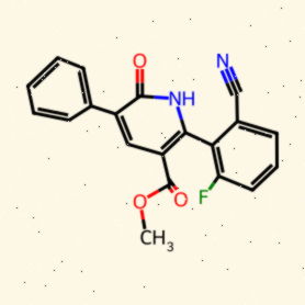 COC(=O)c1cc(-c2ccccc2)c(=O)[nH]c1-c1c(F)cccc1C#N